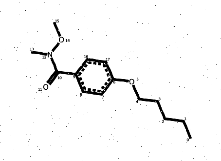 CCCCCOc1ccc(C(=O)N(C)OC)cc1